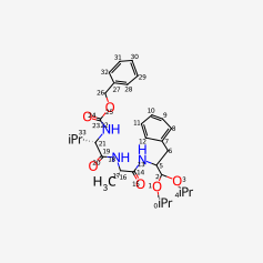 CC(C)OC(OC(C)C)C(Cc1ccccc1)NC(=O)[C@H](C)NC(=O)[C@@H](NC(=O)OCc1ccccc1)C(C)C